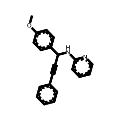 COc1ccc(C(C#Cc2ccccc2)Nc2ccccn2)cc1